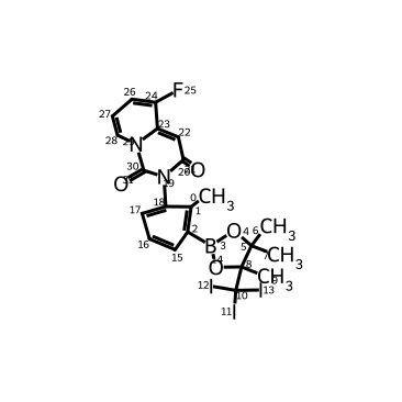 Cc1c(B2OC(C)(C)C(C)(C(I)(I)I)O2)cccc1-n1c(=O)cc2c(F)cccn2c1=O